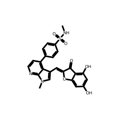 CNS(=O)(=O)c1ccc(-c2ccnc3c2c(C=C2Oc4cc(O)cc(O)c4C2=O)cn3C)cc1